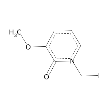 COc1cccn(CI)c1=O